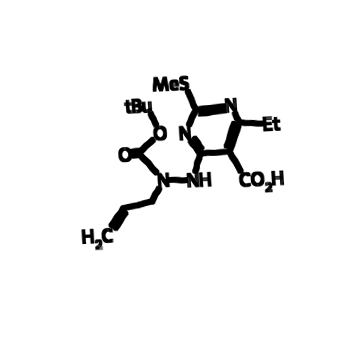 C=CCN(Nc1nc(SC)nc(CC)c1C(=O)O)C(=O)OC(C)(C)C